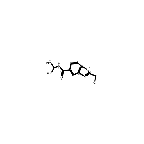 CCCC(CCC)NC(=O)c1ccc2oc(CCl)nc2c1